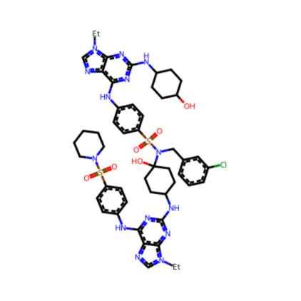 CCn1cnc2c(Nc3ccc(S(=O)(=O)N(Cc4cccc(Cl)c4)C4(O)CCC(Nc5nc(Nc6ccc(S(=O)(=O)N7CCCCC7)cc6)c6ncn(CC)c6n5)CC4)cc3)nc(NC3CCC(O)CC3)nc21